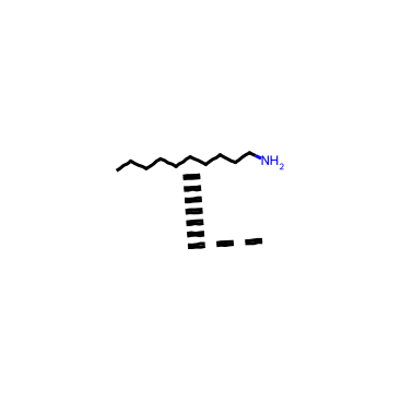 C=C.C=C.C=C.C=C.C=C.C=C.C=C.C=C.C=C.CCCCCCCCCCN